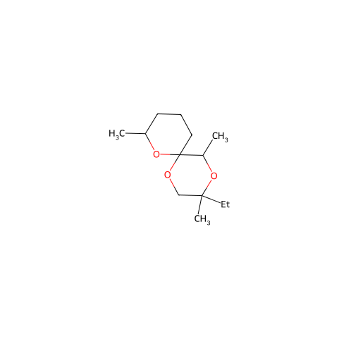 CCC1(C)COC2(CCCC(C)O2)C(C)O1